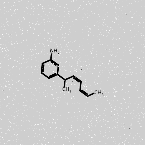 C/C=C\C=C/C(C)c1cccc(N)c1